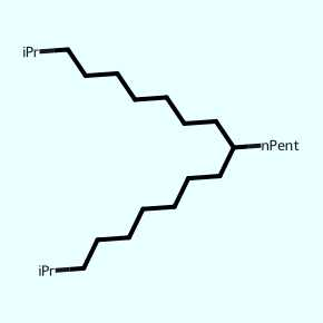 CCCCCC(CCCCCCCC(C)C)CCCCCCCC(C)C